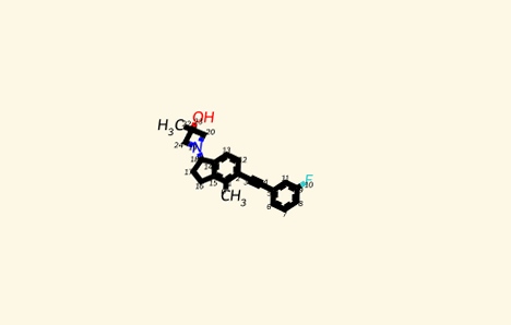 Cc1c(C#Cc2cccc(F)c2)ccc2c1CCC2N1CC(C)(O)C1